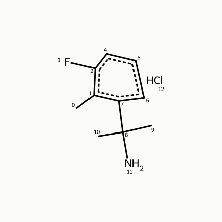 Cc1c(F)cccc1C(C)(C)N.Cl